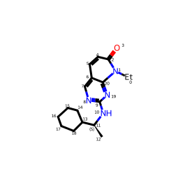 CCn1c(=O)ccc2cnc(N[C@@H](C)C3CCCCC3)nc21